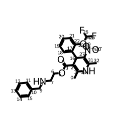 CC1=C(C(=O)OCCNCc2ccccc2)C(c2ccccc2OC(F)F)C([N+](=O)[O-])=C(C)N1